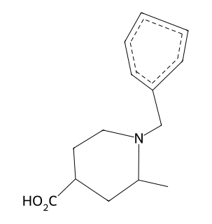 CC1CC(C(=O)O)CCN1Cc1ccccc1